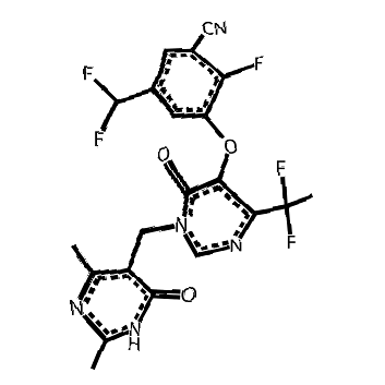 Cc1nc(C)c(Cn2cnc(C(C)(F)F)c(Oc3cc(C(F)F)cc(C#N)c3F)c2=O)c(=O)[nH]1